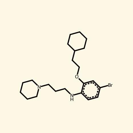 Brc1ccc(NCCCN2CCCCC2)c(OCCC2CCCCC2)c1